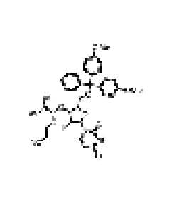 COc1ccc(C(OCC2OC(n3ccc(=O)[nH]c3=O)C(F)C2OP(OCCC#N)N(C(C)C)C(C)C)(c2ccccc2)c2ccc(OC)cc2)cc1